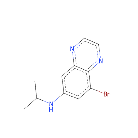 CC(C)Nc1cc(Br)c2nccnc2c1